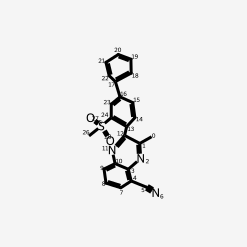 Cc1nc2c(C#N)cccc2nc1-c1ccc(-c2ccccc2)cc1S(C)(=O)=O